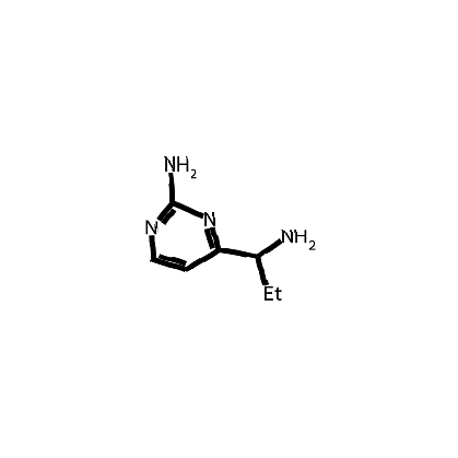 CCC(N)c1ccnc(N)n1